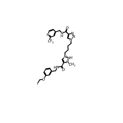 CN1NN(CCCCn2cc(C(=O)NCc3ccnc(C(F)(F)F)c3)nn2)C=C1C(=O)NCc1cccc(OCI)c1